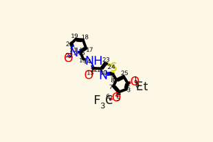 CCOc1cc(OC(F)(F)F)cc(-c2nc(C(=O)NCc3cccc[n+]3[O-])cs2)c1